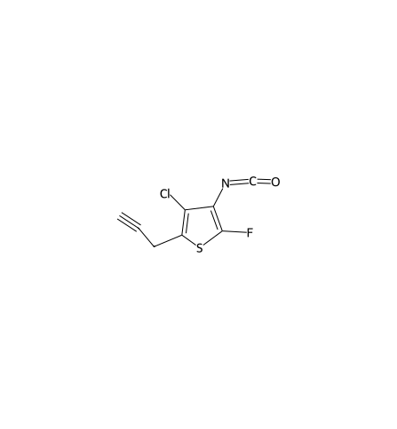 C#CCc1sc(F)c(N=C=O)c1Cl